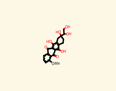 COc1cccc2c1C(=O)c1c(O)c3c(c(O)c1C2=O)CC(O)(C(O)CO)CC3